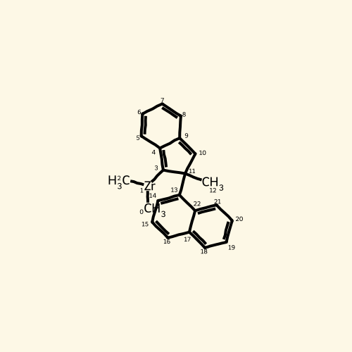 [CH3][Zr]([CH3])[C]1=c2ccccc2=CC1(C)c1cccc2ccccc12